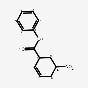 O=C(Oc1ccccc1)C1C=CCC([N+](=O)[O-])C1